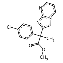 COC(=O)C(C)(c1ccc(Cl)cc1)c1cn2cccnc2n1